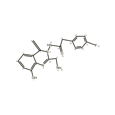 C=C1c2cccc(O)c2N=C(CN)N1NC(=O)Cc1ccc(F)cc1